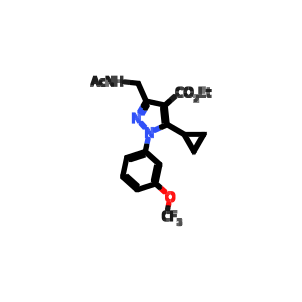 CCOC(=O)c1c(CNC(C)=O)nn(-c2cccc(OC(F)(F)F)c2)c1C1CC1